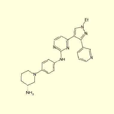 CCn1cc(-c2ccnc(Nc3ccc(N4CCC[C@@H](N)C4)cc3)n2)c(-c2cccnc2)n1